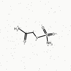 NC(=O)CSS(N)(=O)=O